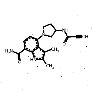 C#CC(=O)NC1CCN(c2ccc(C(N)=O)c3[nH]c(C)c(C)c23)C1